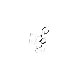 COC(=O)c1csc(C(C)N2CCOCC2)c1C